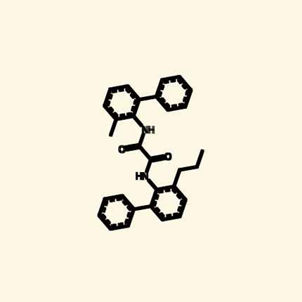 CCCc1cccc(-c2ccccc2)c1NC(=O)C(=O)Nc1c(C)cccc1-c1ccccc1